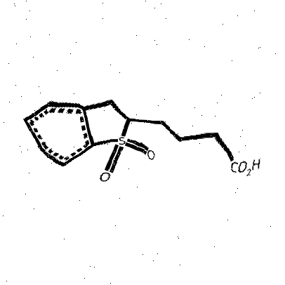 O=C(O)CCCC1Cc2ccccc2S1(=O)=O